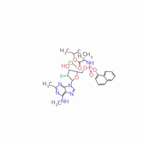 CNc1nc(C)nc2c1ncn2[C@@H]1O[C@](CCl)(CO[P@@](=O)(N[C@@H](C)C(=O)OC(C)C)Oc2cccc3ccccc23)[C@@H](O)[C@@H]1F